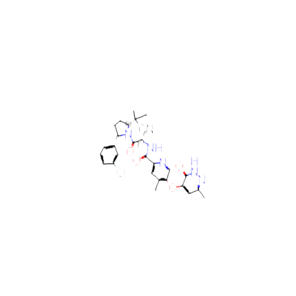 Cc1cc(Oc2cnc(C(=O)N[C@H](C)C(=O)N3[C@H](c4cccc(Cl)c4)CC[C@@H]3C(C)(C)C#N)cc2C)c(=O)[nH]n1